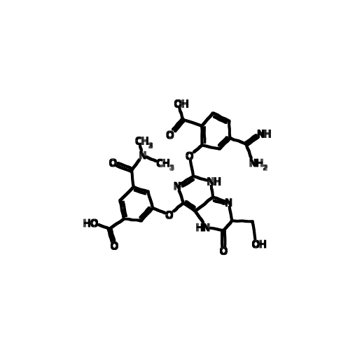 CN(C)C(=O)c1cc(OC2=C3NC(=O)C(CO)N=C3NC(Oc3cc(C(=N)N)ccc3C(=O)O)=N2)cc(C(=O)O)c1